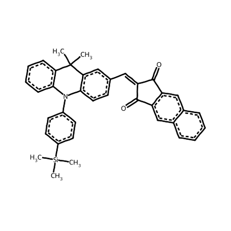 CC1(C)c2ccccc2N(c2ccc([Si](C)(C)C)cc2)c2ccc(C=C3C(=O)c4cc5ccccc5cc4C3=O)cc21